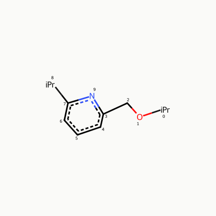 CC(C)OCc1cccc(C(C)C)n1